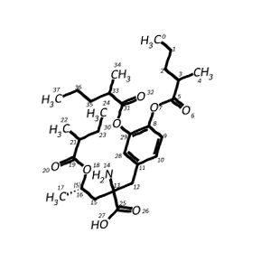 CCCC(C)C(=O)Oc1ccc(CC(N)(C[C@H](C)OC(=O)C(C)CC)C(=O)O)cc1OC(=O)C(C)CCC